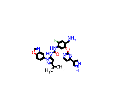 CC(C)c1cc(NC(=O)Nc2cc(Oc3nccc(-c4cn[nH]c4)n3)c(CN)cc2F)n(-c2ccc3ocnc3c2)n1